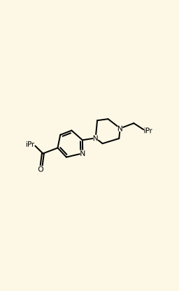 CC(C)CN1CCN(c2ccc(C(=O)C(C)C)cn2)CC1